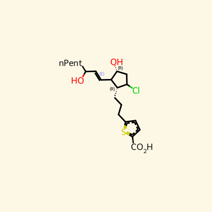 CCCCCC(O)/C=C/C1[C@@H](CCCc2ccc(C(=O)O)s2)C(Cl)C[C@H]1O